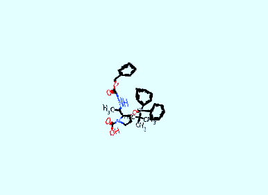 CC(NC(=O)OCc1ccccc1)C1[C@@H](O[Si](c2ccccc2)(c2ccccc2)C(C)(C)C)CCN1C(=O)O